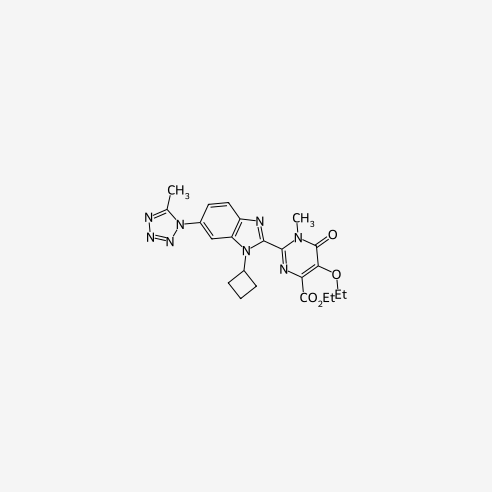 CCOC(=O)c1nc(-c2nc3ccc(-n4nnnc4C)cc3n2C2CCC2)n(C)c(=O)c1OCC